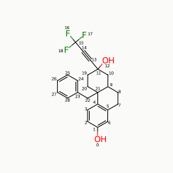 Oc1ccc2c(c1)CCC1CC(O)(C#CC(F)(F)F)CCC21Cc1ccccc1